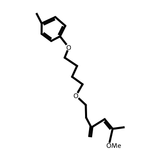 C=C(/C=C(/C)OC)CCOCCCCOc1ccc(C)cc1